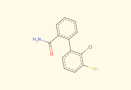 NC(=O)c1ccccc1-c1cccc(S)c1Cl